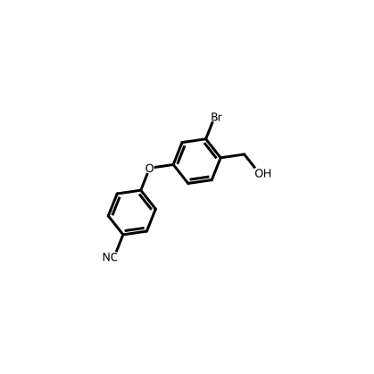 N#Cc1ccc(Oc2ccc(CO)c(Br)c2)cc1